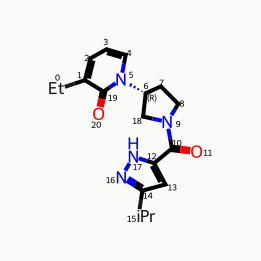 CCc1cccn([C@@H]2CCN(C(=O)c3cc(C(C)C)n[nH]3)C2)c1=O